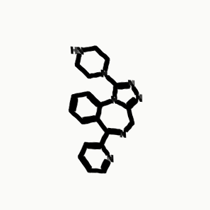 c1ccc(C2=NCc3nnc(N4CCNCC4)n3-c3ccccc32)nc1